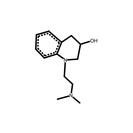 CN(C)CCN1CC(O)Cc2[c]cccc21